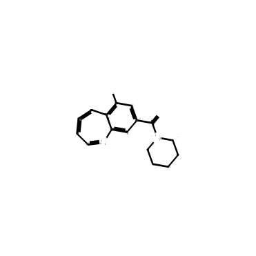 O=C(c1cc(Cl)c2c(c1)N=CC=C=C2)N1CCCCC1